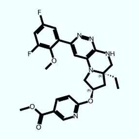 CC[C@@]12CNc3nnc(-c4cc(F)cc(F)c4OC)cc3N1C[C@H](Oc1ccc(C(=O)OC)cn1)C2